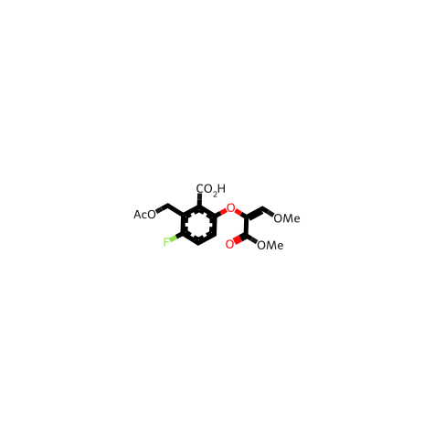 CO/C=C(/Oc1ccc(F)c(COC(C)=O)c1C(=O)O)C(=O)OC